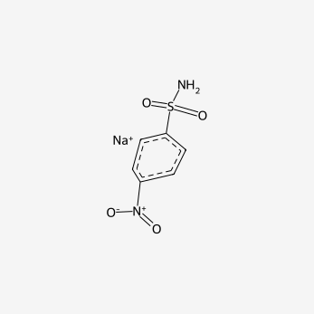 NS(=O)(=O)c1ccc([N+](=O)[O-])cc1.[Na+]